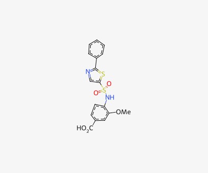 COc1cc(C(=O)O)ccc1NS(=O)(=O)c1cnc(-c2ccccc2)s1